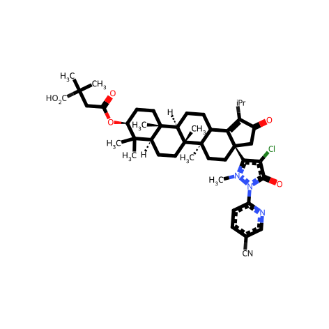 CC(C)C1=C2C3CC[C@@H]4[C@@]5(C)CC[C@H](OC(=O)CC(C)(C)C(=O)O)C(C)(C)[C@@H]5CC[C@@]4(C)[C@]3(C)CC[C@@]2(c2c(Cl)c(=O)n(-c3ccc(C#N)cn3)n2C)CC1=O